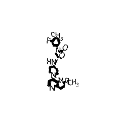 COc1ccc2nccc(N3CCC(NC[C@@H]4CN(c5ccc(C)c(F)c5)C(=O)O4)CC3)c2n1